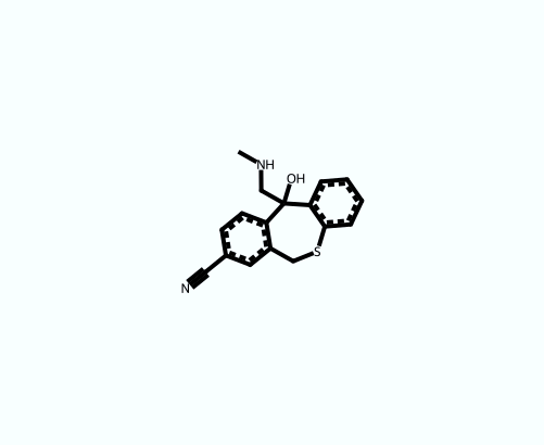 CNCC1(O)c2ccc(C#N)cc2CSc2ccccc21